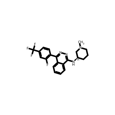 CN1CCC[C@@H](Nc2nnc(-c3ccc(C(F)(F)F)cc3F)c3ccccc23)C1